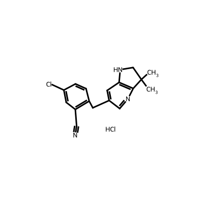 CC1(C)CNc2cc(Cc3ccc(Cl)cc3C#N)cnc21.Cl